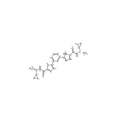 C[C@H](NC(=O)c1nnc(-c2cccc(-c3ncc(C(=O)N[C@H](C)C4CC4)o3)c2)[nH]1)C1CC1